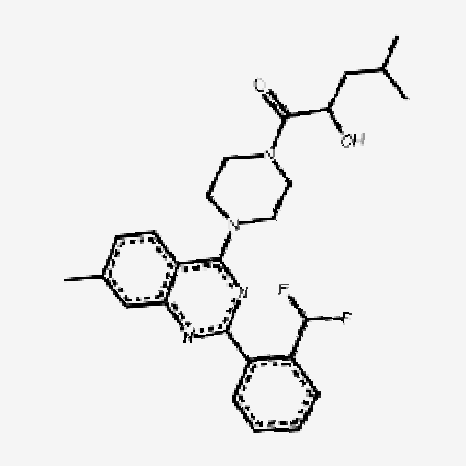 Cc1ccc2c(N3CCN(C(=O)C(O)CC(C)C)CC3)nc(-c3ccccc3C(F)F)nc2c1